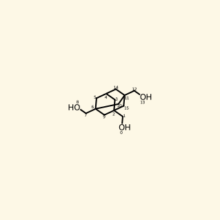 OCC12CC3CC(CO)(C1)CC(CO)(C3)C2